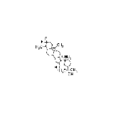 CC1CC2C3CCC4C(C)C(F)(F)CCC45C(C)C35CCC2(C)C1C1(C)CCC(C(C)(C)O)C1